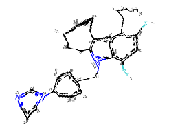 CCc1c(F)cc(F)c2c1c1c(n2Cc2ccc(-n3ccnc3)cc2)CCCCC1